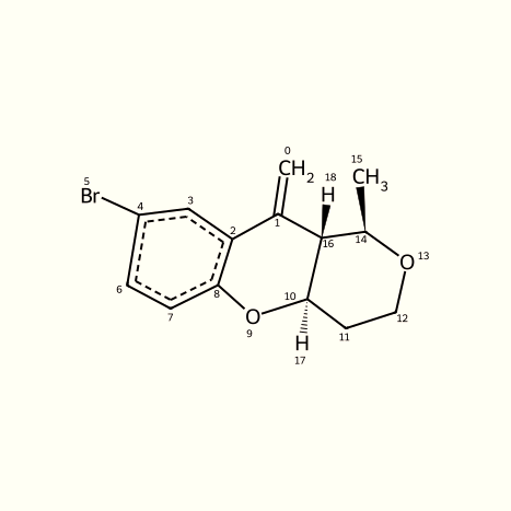 C=C1c2cc(Br)ccc2O[C@@H]2CCO[C@H](C)[C@@H]12